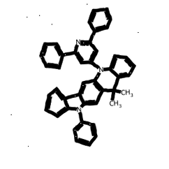 CC1(C)c2ccccc2N(c2cc(-c3ccccc3)nc(-c3ccccc3)c2)c2cc3c4ccccc4n(-c4ccccc4)c3cc21